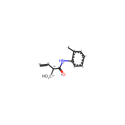 [CH2]c1ccccc1NC(=O)C(C=C)C(=O)O